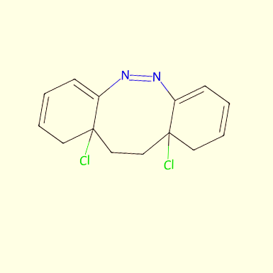 ClC12CC=CC=C1/N=N\C1=CC=CCC1(Cl)CC2